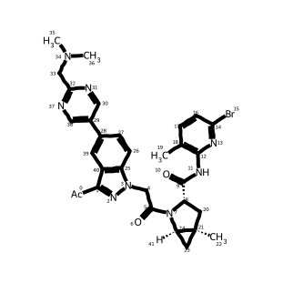 CC(=O)c1nn(CC(=O)N2[C@H](C(=O)Nc3nc(Br)ccc3C)C[C@@]3(C)C[C@@H]23)c2ccc(-c3cnc(CN(C)C)nc3)cc12